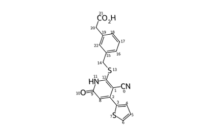 N#Cc1c(-c2cccs2)cc(=O)[nH]c1SCc1cccc(CC(=O)O)c1